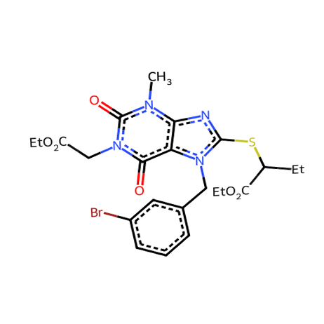 CCOC(=O)Cn1c(=O)c2c(nc(SC(CC)C(=O)OCC)n2Cc2cccc(Br)c2)n(C)c1=O